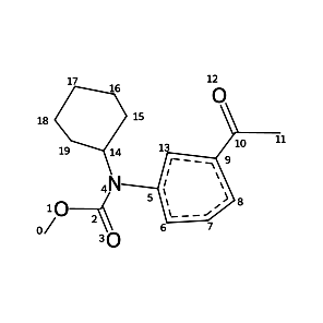 COC(=O)N(c1cccc(C(C)=O)c1)C1CCCCC1